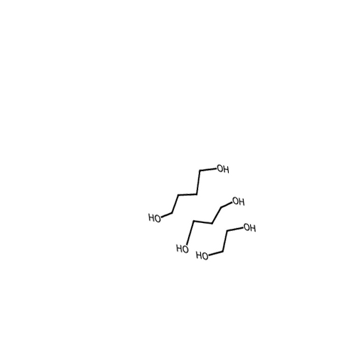 OCCCCO.OCCCO.OCCO